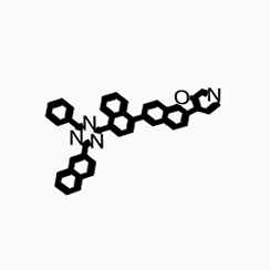 c1ccc(-c2nc(-c3ccc4ccccc4c3)nc(-c3ccc(-c4ccc5c(ccc6c7ccncc7oc56)c4)c4ccccc34)n2)cc1